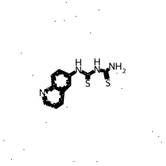 NC(=S)NC(=S)Nc1ccc2ncccc2c1